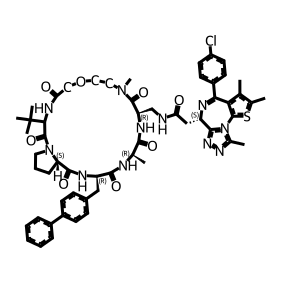 Cc1sc2c(c1C)C(c1ccc(Cl)cc1)=N[C@@H](CC(=O)NC[C@H]1NC(=O)[C@@H](C)NC(=O)[C@@H](Cc3ccc(-c4ccccc4)cc3)NC(=O)[C@@H]3CCCN3C(=O)C(C(C)(C)C)NC(=O)COCCN(C)C1=O)c1nnc(C)n1-2